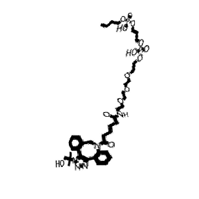 CCCCOP(=O)(O)OCCCOP(=O)(O)OCCOCCOCCOCCNC(=O)CCCCC(=O)N1Cc2ccccc2-c2c(nnn2C(C)(C)CO)-c2ccccc21